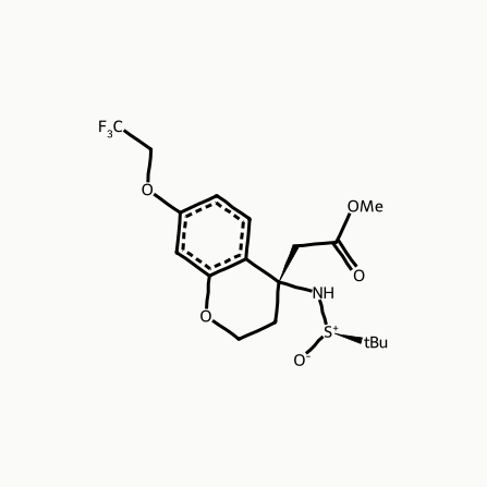 COC(=O)C[C@@]1(N[S@+]([O-])C(C)(C)C)CCOc2cc(OCC(F)(F)F)ccc21